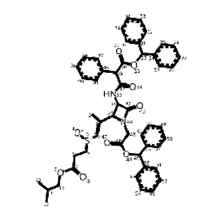 CC(=C[S+]([O-])CCC(=O)OCC(C)C)C1C(NC(=O)C(C(=O)OC(c2ccccc2)c2ccccc2)c2ccccc2)C(=O)N1CC(=O)OC(c1ccccc1)c1ccccc1